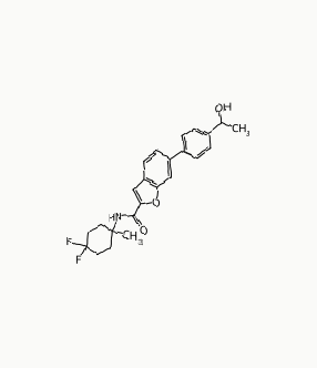 CC(O)c1ccc(-c2ccc3cc(C(=O)NC4(C)CCC(F)(F)CC4)oc3c2)cc1